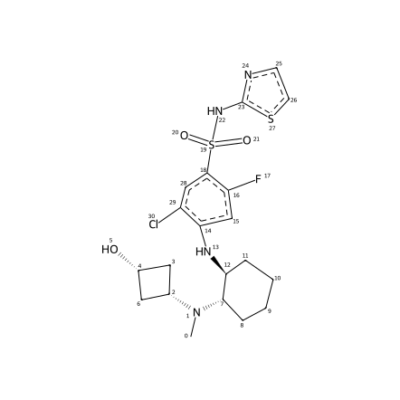 CN([C@H]1C[C@@H](O)C1)[C@H]1CCCC[C@@H]1Nc1cc(F)c(S(=O)(=O)Nc2nccs2)cc1Cl